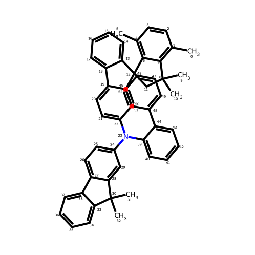 Cc1ccc(C)c2c1C(C)(C)CC21c2ccccc2-c2ccc(N(c3ccc4c(c3)C(C)(C)c3ccccc3-4)c3ccccc3-c3ccccc3)cc21